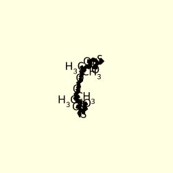 CC(C)(CCOCCCOCCC(C)(C)CCN1C(=O)C=C2SCCC2C1=O)CCN1C(=O)C=C2SCCC2C1=O